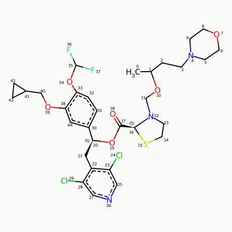 CC(CCN1CCOCC1)OCN1CCS[C@H]1C(=O)O[C@@H](Cc1c(Cl)cncc1Cl)c1ccc(OC(F)F)c(OCC2CC2)c1